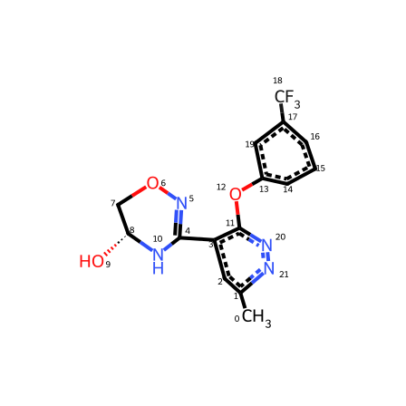 Cc1cc(C2=NOC[C@@H](O)N2)c(Oc2cccc(C(F)(F)F)c2)nn1